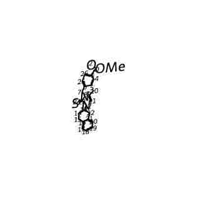 COC(=O)c1ccc(Cn2c(C)cn(C3CCc4ccccc4C3)c2=S)cc1